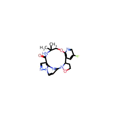 CC1(C)COc2ncc(F)cc2C2CCON2c2ccn3ncc(c3n2)C(=O)N1